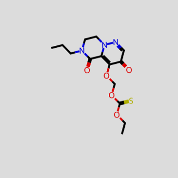 CCCN1CCn2ncc(=O)c(OCOC(=S)OCC)c2C1=O